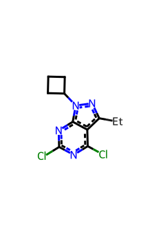 CCc1nn(C2CCC2)c2nc(Cl)nc(Cl)c12